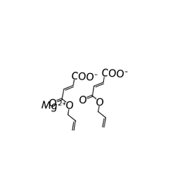 C=CCOC(=O)C=CC(=O)[O-].C=CCOC(=O)C=CC(=O)[O-].[Mg+2]